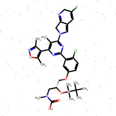 Cc1noc(C)c1-c1nc(-c2cc(OC[C@@H](CN(C)C(=O)O)O[Si](C)(C)C(C)(C)C)ccc2Cl)nc(N2C=C3C=C(F)CN=C3C2)c1C